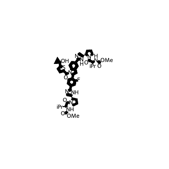 COC(=O)N[C@H](C(=O)N1CCC[C@@H]1c1cnc(-c2cc(F)c3c(c2)OC(c2ccc(C4(O)CC4)s2)n2c-3cc3cc(-c4ncc([C@@H]5CCCN5C(=O)[C@@H](NC(=O)OC)C(C)C)[nH]4)ccc32)[nH]1)C(C)C